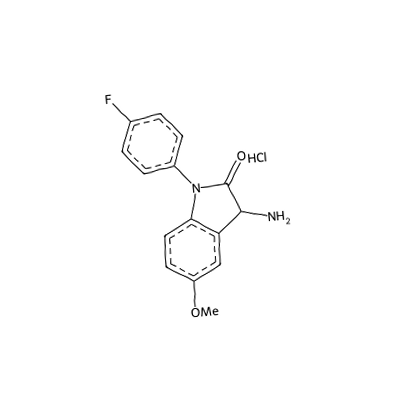 COc1ccc2c(c1)C(N)C(=O)N2c1ccc(F)cc1.Cl